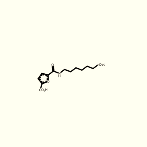 CCCCCCCCCCCCCCCCNC(=O)c1ccc(C(=O)O)o1